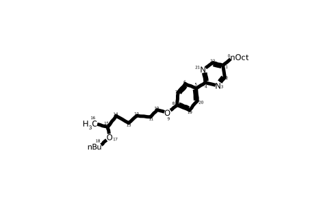 CCCCCCCCc1cnc(-c2ccc(OCCCCCC(C)OCCCC)cc2)nc1